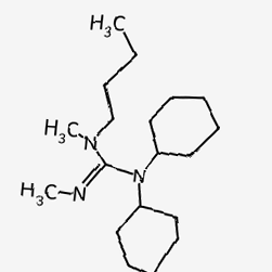 CCCCN(C)C(=NC)N(C1CCCCC1)C1CCCCC1